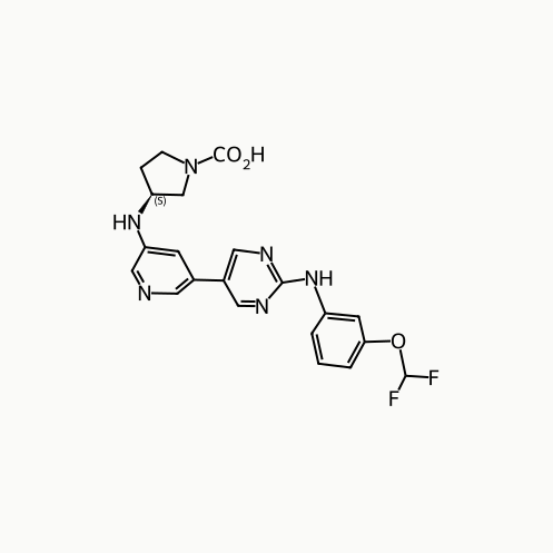 O=C(O)N1CC[C@H](Nc2cncc(-c3cnc(Nc4cccc(OC(F)F)c4)nc3)c2)C1